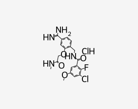 CNC(=O)COc1cc(C(=N)N)ccc1CNC(=O)c1cc(OC)cc(Cl)c1F.Cl